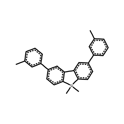 Cc1cccc(-c2ccc3c(c2)-c2cc(-c4cccc(C)c4)ccc2[Si]3(C)C)c1